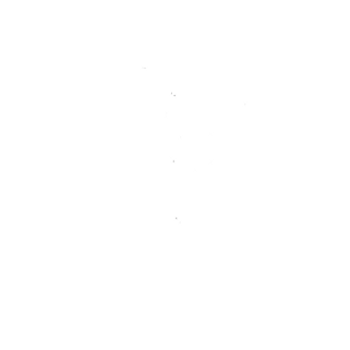 CCCCCNC(=O)c1nc(-c2nc3c(s2)CCC3)sc1C1CC1